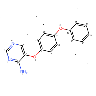 Nc1ncncc1Oc1ccc(Oc2ccccc2)cc1